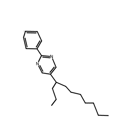 CCCCCCCC(CCC)c1cnc(-c2cc[c]cc2)nc1